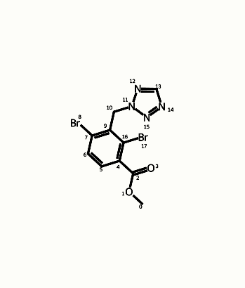 COC(=O)c1ccc(Br)c(Cn2ncnn2)c1Br